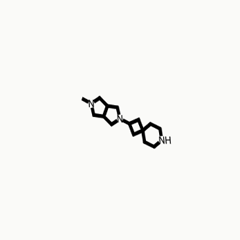 CN1CC2CN(C3CC4(CCNCC4)C3)CC2C1